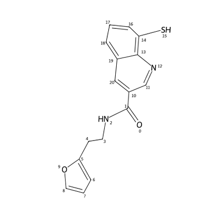 O=C(NCCc1ccco1)c1cnc2c(S)cccc2c1